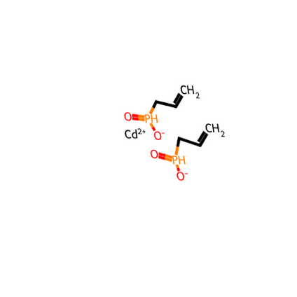 C=CC[PH](=O)[O-].C=CC[PH](=O)[O-].[Cd+2]